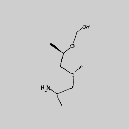 CC(N)C[C@@H](C)C[C@@H](C)OCO